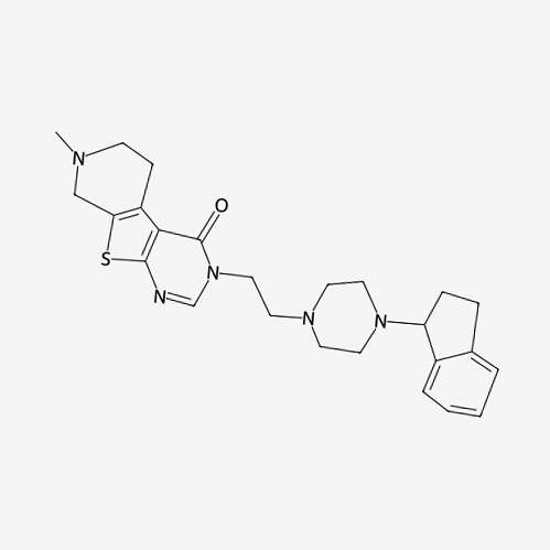 CN1CCc2c(sc3ncn(CCN4CCN(C5CCc6ccccc65)CC4)c(=O)c23)C1